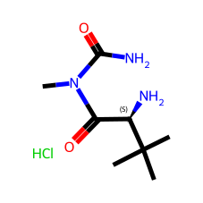 CN(C(N)=O)C(=O)[C@@H](N)C(C)(C)C.Cl